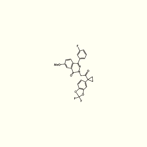 COc1ccc2c(-c3cccc(F)c3)nn(CC(=O)C3(c4ccc5c(c4)OC(F)(F)O5)CC3)c(=O)c2c1